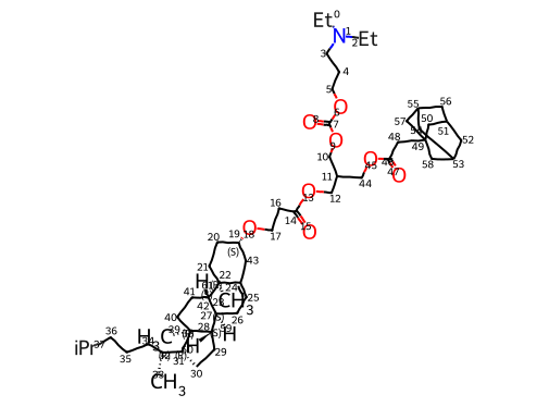 CCN(CC)CCCOC(=O)OCC(COC(=O)CCO[C@H]1CC[C@@]2(C)C(=CC[C@H]3[C@@H]4CC[C@H]([C@H](C)CCCC(C)C)[C@@]4(C)CC[C@@H]32)C1)COC(=O)CC12CC3CC(CC(C3)C1)C2